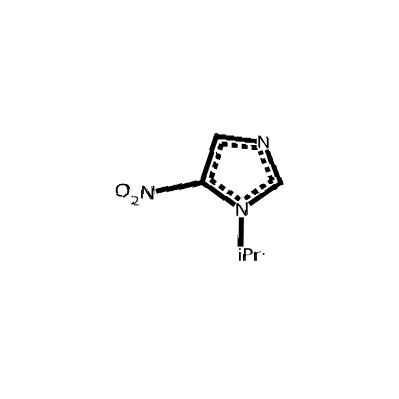 C[C](C)n1cncc1[N+](=O)[O-]